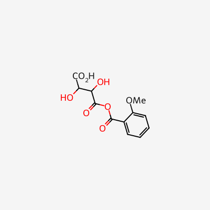 COc1ccccc1C(=O)OC(=O)C(O)C(O)C(=O)O